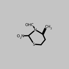 C=C1CCSC([N+](=O)[O-])N1C=O